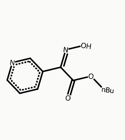 CCCCOC(=O)/C(=N\O)c1cccnc1